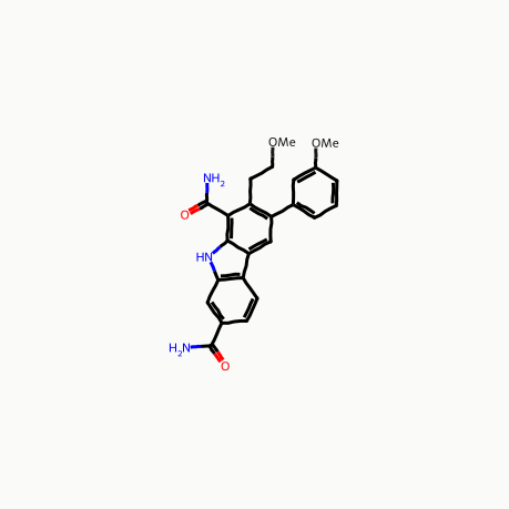 COCCc1c(-c2cccc(OC)c2)cc2c([nH]c3cc(C(N)=O)ccc32)c1C(N)=O